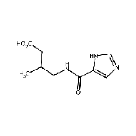 CC(CNC(=O)c1cnc[nH]1)CC(=O)O